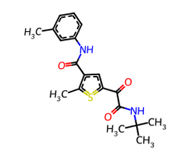 Cc1cccc(NC(=O)c2cc(C(=O)C(=O)NC(C)(C)C)sc2C)c1